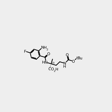 CC(C)(C)OC(=O)NCC[C@](C)(NC(=O)c1ccc(F)cc1N)C(=O)O